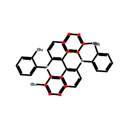 CC(C)(C)c1ccccc1P(c1ccccc1C(C)(C)C)c1ccc2c(c1-c1c(P(c3ccccc3C(C)(C)C)c3ccccc3C(C)(C)C)ccc3c1CCCC3)CCCC2